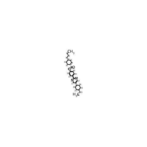 CCCC[C@H]1CC[C@H](C(=O)Oc2ccc(-c3ncc([C@H]4CC[C@H](CC)CC4)cn3)cc2)CC1